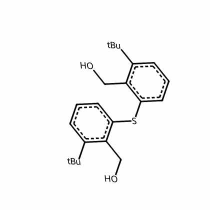 CC(C)(C)c1cccc(Sc2cccc(C(C)(C)C)c2CO)c1CO